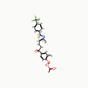 CC(=O)OOc1ccc(C(=O)CCc2sc(-c3ccc(C(F)(F)F)cc3)nc2C)cc1C